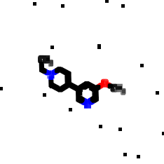 CCN1CC=C(c2cncc(OC)c2)CC1